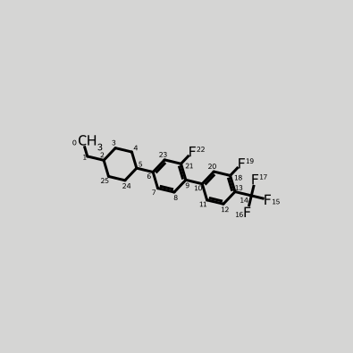 CCC1CCC(c2ccc(-c3ccc(C(F)(F)F)c(F)c3)c(F)c2)CC1